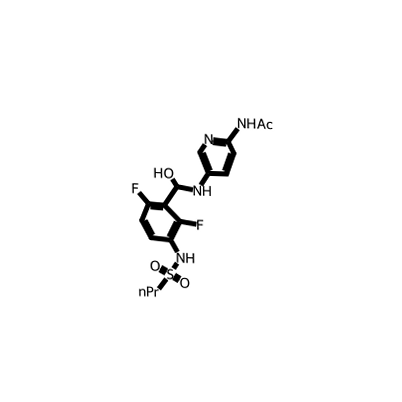 CCCS(=O)(=O)Nc1ccc(F)c(C(O)Nc2ccc(NC(C)=O)nc2)c1F